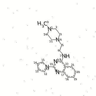 CN1CCN(CCNc2nc(-n3cccc3)nc3ccccc23)CC1